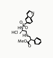 COC(=O)C(CNC[C@@H](C)NS(=O)(=O)c1ccc2cnccc2c1)c1ccccc1.Cl